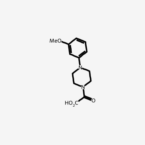 COc1cccc(N2CCN(C(=O)C(=O)O)CC2)c1